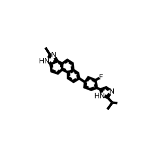 Cc1nc2c(ccc3c4ccc(-c5ccc(-c6cnc(C(C)C)[nH]6)c(F)c5)cc4ccc32)[nH]1